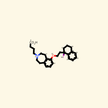 O=C(O)CCCN1CCc2cccc(OCCC3(I)CCCc4ccccc43)c2CC1